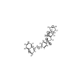 Cc1cc(COc2ccc(S(=O)(=O)CC(C=C3CCOCC3)NO)cc2)c2ccccc2n1